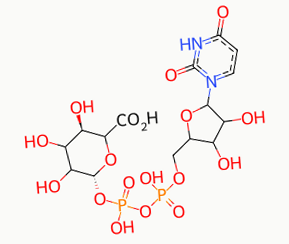 O=C(O)C1O[C@H](OP(=O)(O)OP(=O)(O)OCC2OC(n3ccc(=O)[nH]c3=O)C(O)C2O)C(O)C(O)[C@H]1O